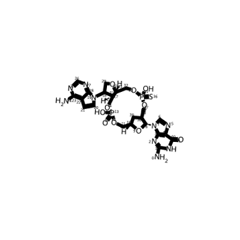 Nc1nc2c(ncn2[C@@H]2O[C@@H]3COP(=O)(O)O[C@H]4C(n5ccc6c(N)ncnc65)CO[C@@H]4COP(O)(=S)O[C@@H]2C3)c(=O)[nH]1